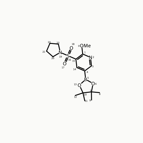 COc1ncc(B2OC(C)(C)C(C)(C)O2)cc1S(=O)(=O)N1CCCC1